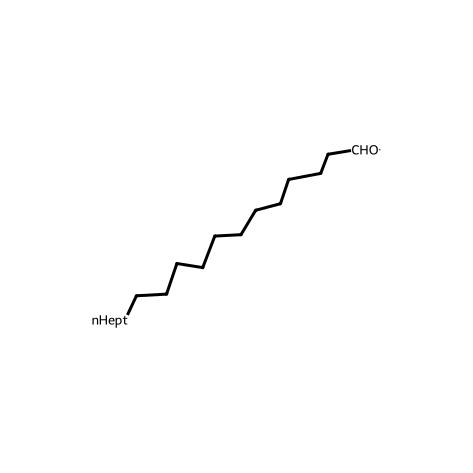 CCCCCCCCCCCCCCCCCC[C]=O